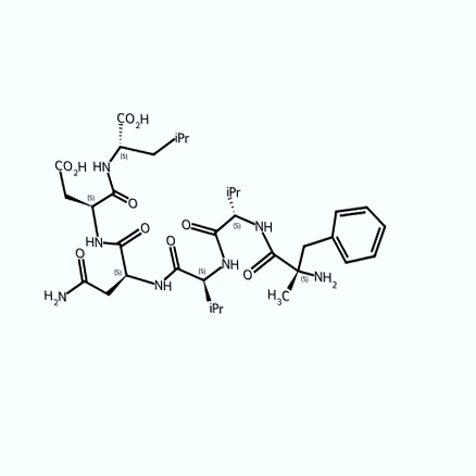 CC(C)C[C@H](NC(=O)[C@H](CC(=O)O)NC(=O)[C@H](CC(N)=O)NC(=O)[C@@H](NC(=O)[C@@H](NC(=O)[C@@](C)(N)Cc1ccccc1)C(C)C)C(C)C)C(=O)O